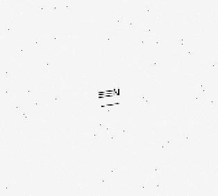 C#N.CC